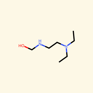 CCN(CC)CCNCO